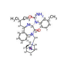 Cc1cccc(N(C(N)=O)[C@H]2N=C(CC(C)C)c3ccccc3N(CN3CC4CCC(CC4)C3)C2=O)c1